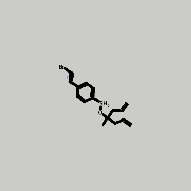 C=CCC(C)(CC=C)O[SiH2]c1ccc(/C=C/Br)cc1